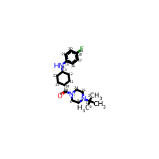 CC(C)(C)N1CCN(C(=O)[C@H]2CC[C@H](Nc3ccc(F)cc3)CC2)CC1